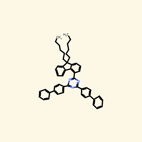 CCCCCCC1(CCCCCC)c2ccccc2-c2c(-c3nc(-c4ccc(-c5ccccc5)cc4)nc(-c4ccc(-c5ccccc5)cc4)n3)cccc21